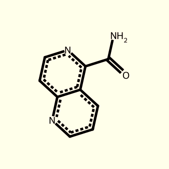 NC(=O)c1nccc2ncccc12